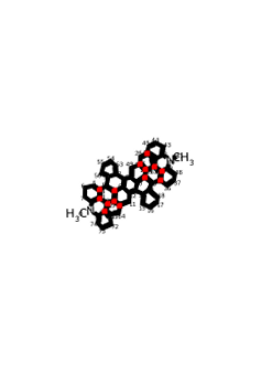 CN1C2=C(C=CCC2)N(c2ccc3c(-c4ccccc4-c4ccc5ccccc5c4)c4cc(N5c6ccccc6N(C)c6ccccc65)ccc4c(-c4ccccc4-c4ccc5ccccc5c4)c3c2)c2ccccc21